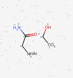 CC(=O)NCC(N)=O.OCC(Cl)(Cl)Cl